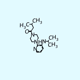 CC(C)CC(=O)N1CCN(c2ncccc2NC(C)C)CC1